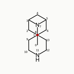 CC1CC2CC(C1)N2C1CCNCC1